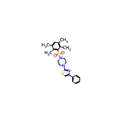 Cc1cc(C)c(C)c(S(=O)(=O)N2CCN(c3nc(-c4ccccc4)cs3)CC2)c1C